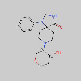 O=C1NCN(c2ccccc2)C12CCN([C@@H]1COCC[C@H]1O)CC2